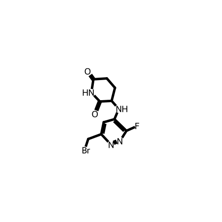 O=C1CCC(Nc2cc(CBr)nnc2F)C(=O)N1